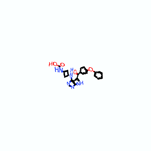 O=C(O)N[C@H]1C[C@H](Nc2ncnc3[nH]cc(C(=O)c4ccc(Oc5ccccc5)cc4)c23)C1